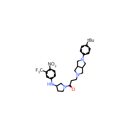 CC(C)(C)c1ccc(N2CC3CN(CCC(=O)N4CCC(Nc5ccc([N+](=O)[O-])c(C(F)(F)F)c5)C4)CC3C2)cc1